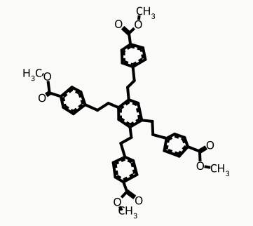 COC(=O)c1ccc(CCc2cc(CCc3ccc(C(=O)OC)cc3)c(CCc3ccc(C(=O)OC)cc3)cc2CCc2ccc(C(=O)OC)cc2)cc1